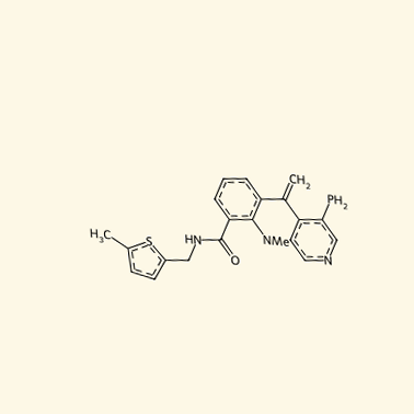 C=C(c1ccncc1P)c1cccc(C(=O)NCc2ccc(C)s2)c1NC